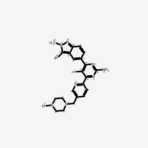 CCN1CCN(Cc2ccc(-c3nc(N)nc(-c4ccc5nn(C)c(C(C)C)c5c4)c3F)nc2)CC1